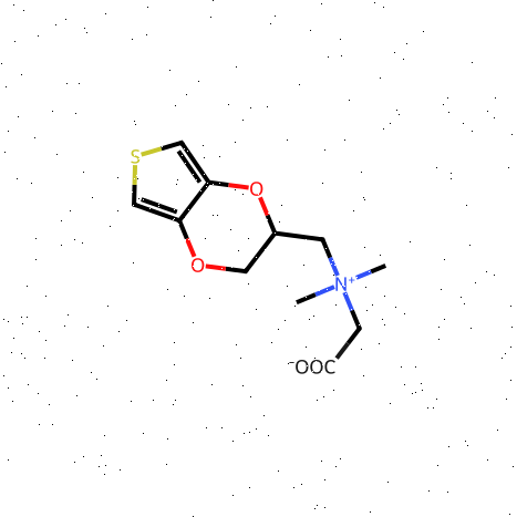 C[N+](C)(CC(=O)[O-])CC1COc2cscc2O1